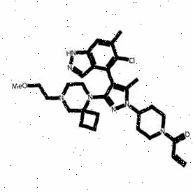 C=CC(=O)N1CCC(n2nc(N3CCN(CCOC)CC34CCC4)c(-c3c(Cl)c(C)cc4[nH]ncc34)c2C)CC1